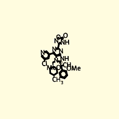 COc1ccccc1C(C)(OC)[C@@H]1Nc2nc(-c3noc(=O)[nH]3)nc(-c3cncc(Cl)c3)c2N1C[C@H]1CC[C@H](C)CC1